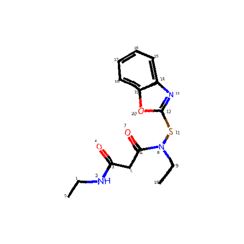 CCNC(=O)CC(=O)N(CC)Sc1nc2ccccc2o1